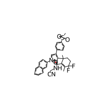 CC1=C(C(=O)NCC#N)C(C)(c2nn(-c3ccc4ccccc4c3)cc2-c2ccc(S(C)(=O)=O)cc2)CCC1(F)F